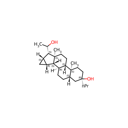 CCC[C@@]1(O)CC[C@@]2(C)[C@@H](CC[C@H]3[C@@H]4[C@@H]5C[C@@H]5[C@H](C(C)O)[C@@]4(C)CC[C@@H]32)C1